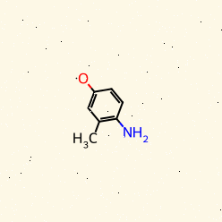 Cc1cc([O])ccc1N